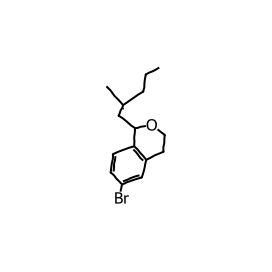 CCC[C](C)CC1OCCc2cc(Br)ccc21